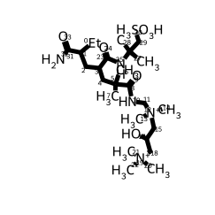 CCC(CC(CC(C)(C)C(=O)NC[N+](C)(C)CC(O)C[N+](C)(C)C)C(=O)NC(C)(C)CS(=O)(=O)O)C(N)=O